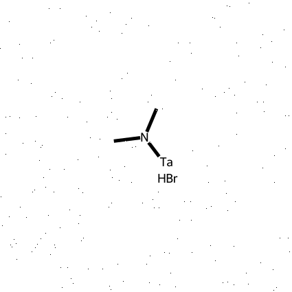 Br.C[N](C)[Ta]